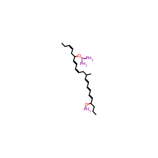 CC/C=C\CC(/C=C/C=C\CC(C)/C=C/C=C/C=C/C(CCC)OP)OP(P)P